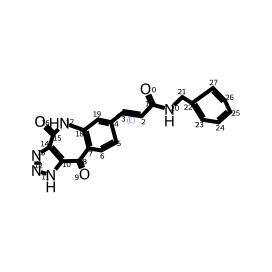 O=C(/C=C/c1ccc2c(=O)c3[nH]nnc3c(=O)[nH]c2c1)NCc1ccccc1